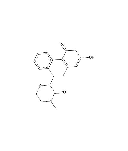 CC1=C(c2ccccc2CC2SCCN(C)C2=O)C(=S)CC(O)=C1